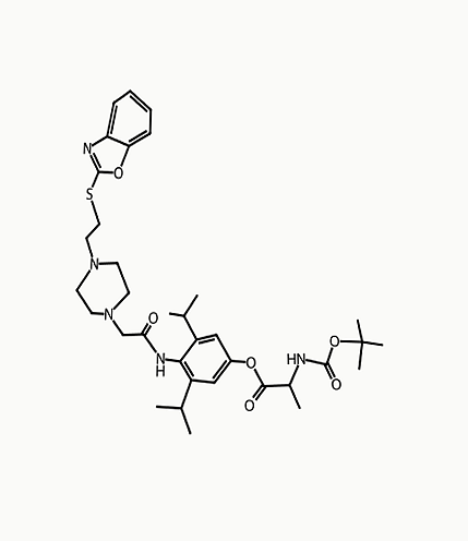 CC(NC(=O)OC(C)(C)C)C(=O)Oc1cc(C(C)C)c(NC(=O)CN2CCN(CCSc3nc4ccccc4o3)CC2)c(C(C)C)c1